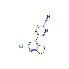 N#Cc1ncc(-c2cc(Cl)nc3c2CCC3)cn1